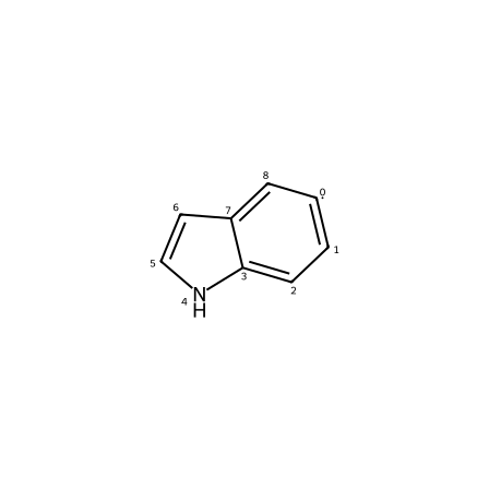 [c]1ccc2[nH]ccc2c1